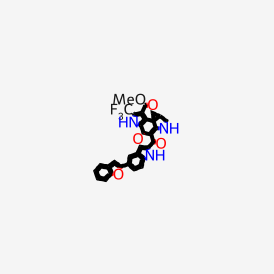 COC(=O)c1c(C(F)(F)F)[nH]c2c1C13CC1CNC3=C(C(=O)c1cc3cc(-c4cc5ccccc5o4)ccc3[nH]1)C2=O